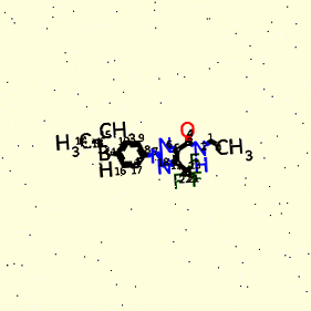 CCNC(=O)c1nn(-c2ccc(BC(C)C)cc2)nc1C(F)(F)F